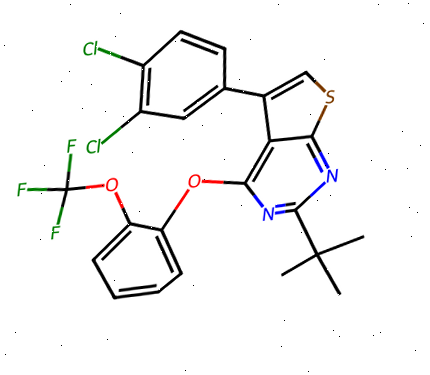 CC(C)(C)c1nc(Oc2ccccc2OC(F)(F)F)c2c(-c3ccc(Cl)c(Cl)c3)csc2n1